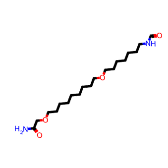 NC(=O)COCCCCCCCCCOCCCCCCCNC=O